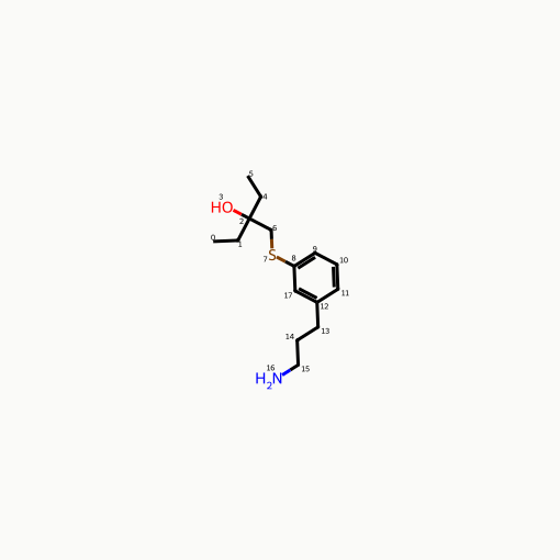 CCC(O)(CC)CSc1cccc(CCCN)c1